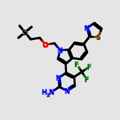 C[Si](C)(C)CCOCn1cc(-c2nc(N)ncc2C(F)(F)F)c2ccc(-c3nccs3)cc21